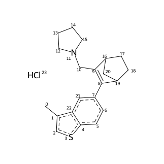 Cc1csc2ccc(C3=C(CN4CCCC4)C4CCC3C4)cc12.Cl